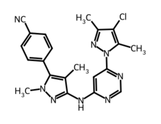 Cc1nn(-c2cc(Nc3nn(C)c(-c4ccc(C#N)cc4)c3C)ncn2)c(C)c1Cl